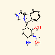 N=C1CCC(C2c3ccccc3-c3cncn32)C(O)/C1=N/O